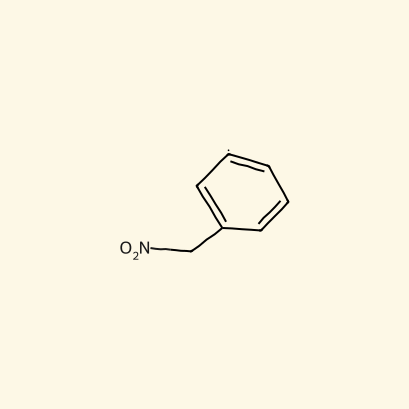 O=[N+]([O-])Cc1c[c]ccc1